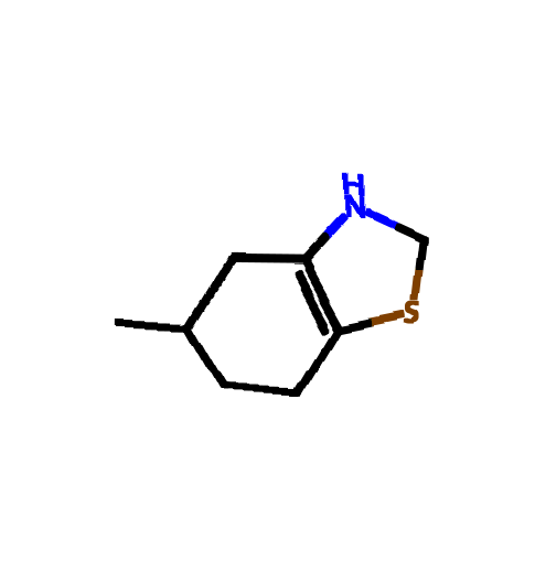 CC1CCC2=C(C1)NCS2